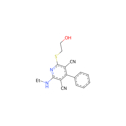 CCNc1nc(SCCO)c(C#N)c(-c2ccccc2)c1C#N